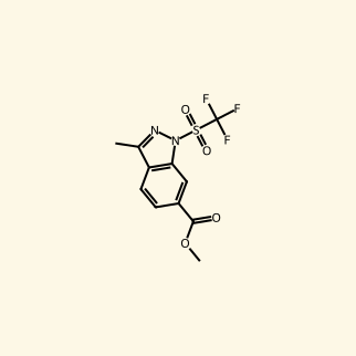 COC(=O)c1ccc2c(C)nn(S(=O)(=O)C(F)(F)F)c2c1